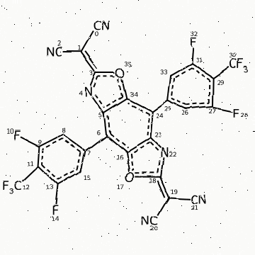 N#CC(C#N)=c1nc2c(-c3cc(F)c(C(F)(F)F)c(F)c3)c3oc(=C(C#N)C#N)nc3c(-c3cc(F)c(C(F)(F)F)c(F)c3)c2o1